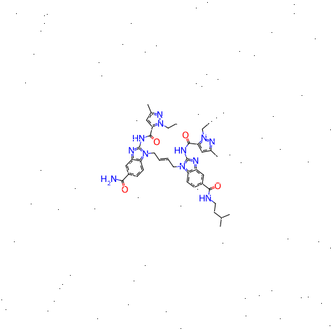 CCn1nc(C)cc1C(=O)Nc1nc2cc(C(N)=O)ccc2n1C/C=C/Cn1c(NC(=O)c2cc(C)nn2CC)nc2cc(C(=O)NCCC(C)C)ccc21